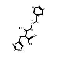 O=C(O)C(Cc1c[nH]cn1)C(O)COCc1ccccc1